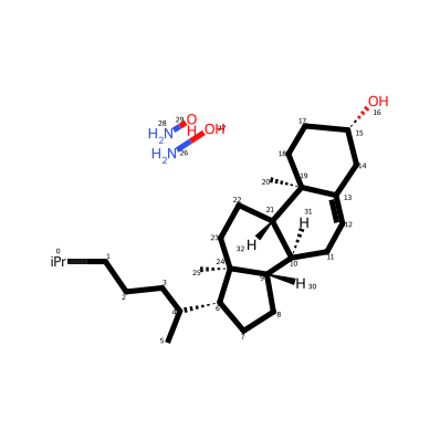 CC(C)CCCC(C)[C@H]1CC[C@H]2[C@@H]3CC=C4C[C@@H](O)CC[C@]4(C)[C@H]3CC[C@]12C.NO.NO